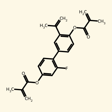 C=C(C)C(=O)Oc1ccc(-c2ccc(OC(=O)C(=C)C)c(C(=C)C)c2)c(F)c1